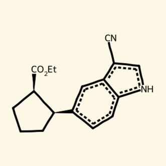 CCOC(=O)[C@@H]1CCC[C@@H]1c1ccc2[nH]cc(C#N)c2c1